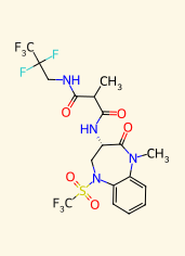 CC(C(=O)NCC(F)(F)C(F)(F)F)C(=O)N[C@H]1CN(S(=O)(=O)C(F)(F)F)c2ccccc2N(C)C1=O